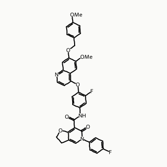 COc1ccc(COc2cc3nccc(Oc4ccc(NC(=O)c5c6c(cn(-c7ccc(F)cc7)c5=O)CCO6)cc4F)c3cc2OC)cc1